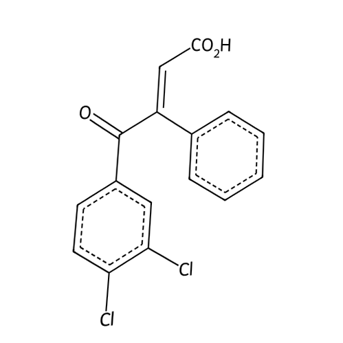 O=C(O)C=C(C(=O)c1ccc(Cl)c(Cl)c1)c1ccccc1